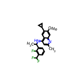 COc1cc2nc(C)cc(NC(C)c3cccc(C(F)F)c3F)c2cc1C1CC1